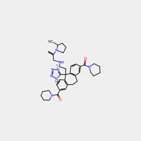 C=C(CN[C@@H](C)CC1(c2nnn[nH]2)c2ccc(C(=O)N3CCCCC3)cc2CCc2cc(C(=O)N3CCCCC3)ccc21)N1CCCC1C#N